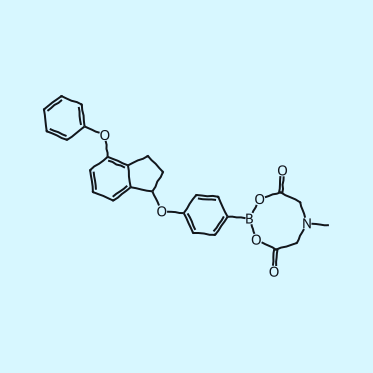 CN1CC(=O)OB(c2ccc(OC3CCc4c(Oc5ccccc5)cccc43)cc2)OC(=O)C1